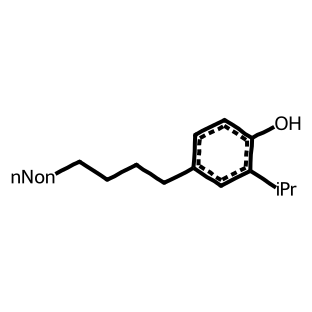 CCCCCCCCCCCCCc1ccc(O)c(C(C)C)c1